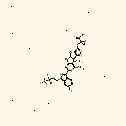 C[C@@]1(c2cn(CC3(C(=O)O)CC3)nn2)C(=O)Nc2nc(-c3nn(CCC(F)(F)C(F)(F)F)c4cc(Cl)ccc34)nc(N)c21